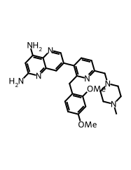 COc1ccc(Cc2nc(CN3CCN(C)CC3)ccc2-c2cnc3c(N)cc(N)nc3c2)c(OC)c1